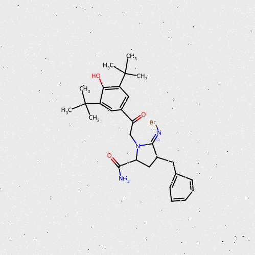 CC(C)(C)c1cc(C(=O)CN2/C(=N\Br)C(Cc3ccccc3)CC2C(N)=O)cc(C(C)(C)C)c1O